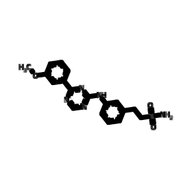 COc1cccc(-c2ncnc(Nc3cccc(CCS(N)(=O)=O)c3)n2)c1